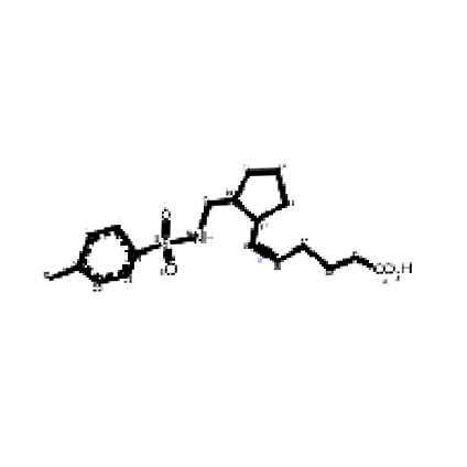 Cc1ccc(S(=O)(=O)NCC2CCCC2/C=C\CCCC(=O)O)cc1